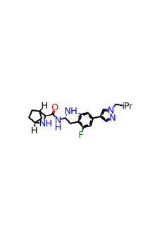 CC(C)Cn1cc(-c2ccc(C[C@@H](N)NC(=O)[C@H]3N[C@@H]4CC[C@H]3C4)c(F)c2)cn1